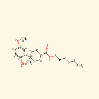 CCCCCCOC(=O)C1CCC(C)(c2cc(OC)ccc2O)CC1